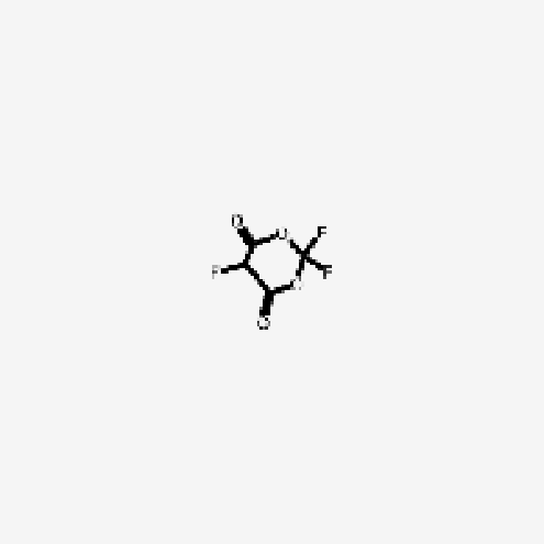 O=C1OC(F)(F)OC(=O)C1F